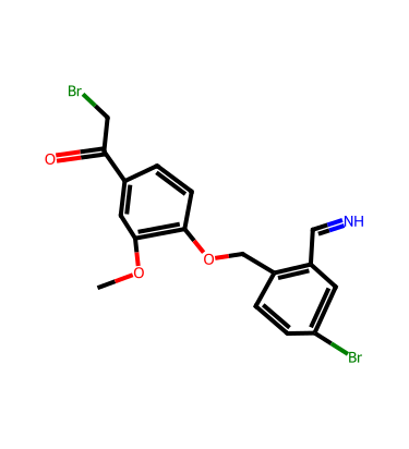 COc1cc(C(=O)CBr)ccc1OCc1ccc(Br)cc1C=N